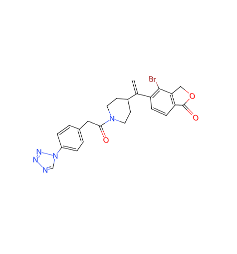 C=C(c1ccc2c(c1Br)COC2=O)C1CCN(C(=O)Cc2ccc(-n3cnnn3)cc2)CC1